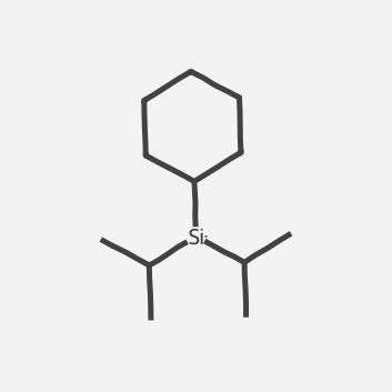 CC(C)[Si](C(C)C)C1CCCCC1